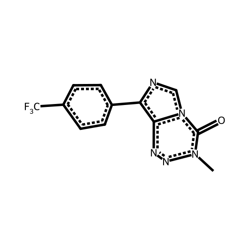 Cn1nnc2c(-c3ccc(C(F)(F)F)cc3)ncn2c1=O